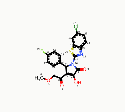 COCC(=O)C1=C(O)C(=O)N(c2nc3ccc(Cl)cc3s2)C1c1ccc(F)cc1